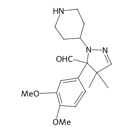 COc1ccc(C2(C=O)N(C3CCNCC3)N=CC2(C)C)cc1OC